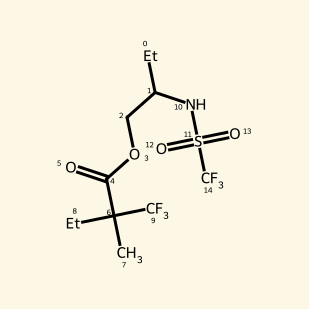 CCC(COC(=O)C(C)(CC)C(F)(F)F)NS(=O)(=O)C(F)(F)F